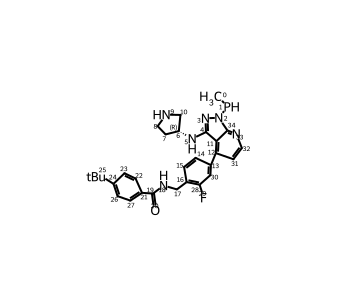 CPn1nc(N[C@@H]2CCNC2)c2c(-c3ccc(CNC(=O)c4ccc(C(C)(C)C)cc4)c(F)c3)ccnc21